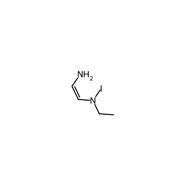 CCN(I)/C=C\N